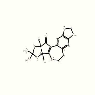 CC1(C)O[C@@H]2C(=O)C3=C(NCCc4cc5c(cc43)OCO5)[C@@H]2O1